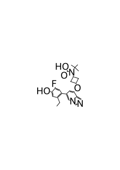 CCc1cc(O)c(F)cc1-c1cc(OC2CC(N(C(=O)O)C(C)(C)C)C2)c2cncn2c1